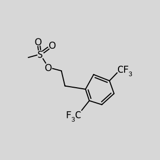 CS(=O)(=O)OCCc1cc(C(F)(F)F)ccc1C(F)(F)F